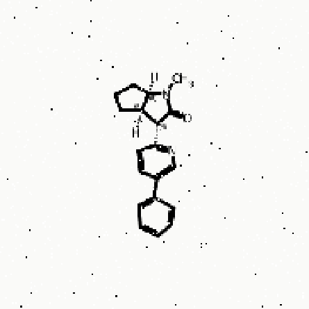 CN1C(=O)[C@H](c2ccc(-c3ccccc3)cn2)[C@H]2CCC[C@H]21